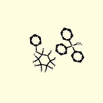 C[P+](c1ccccc1)(c1ccccc1)c1ccccc1.FC1C(F)(F)C(F)(F)C(F)(F)C(F)(F)C1(F)[N-]c1ccccc1